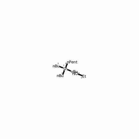 CCCC[CH2][Sn]([CH2]CCC)([CH2]CCC)[CH2]CCC.CCO